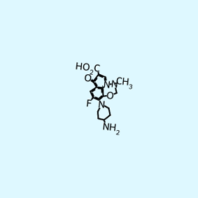 CN1COc2c(N3CCC(N)CC3)c(F)cc3c(=O)c(C(=O)O)cn1c23